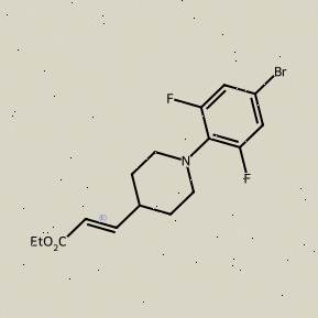 CCOC(=O)/C=C/C1CCN(c2c(F)cc(Br)cc2F)CC1